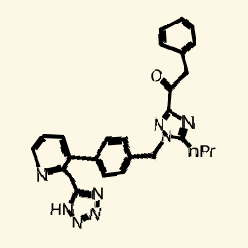 CCCc1nc(C(=O)Cc2ccccc2)nn1Cc1ccc(-c2cccnc2-c2nnn[nH]2)cc1